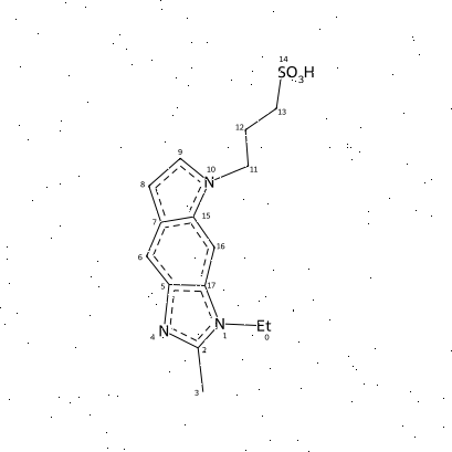 CCn1c(C)nc2cc3ccn(CCCS(=O)(=O)O)c3cc21